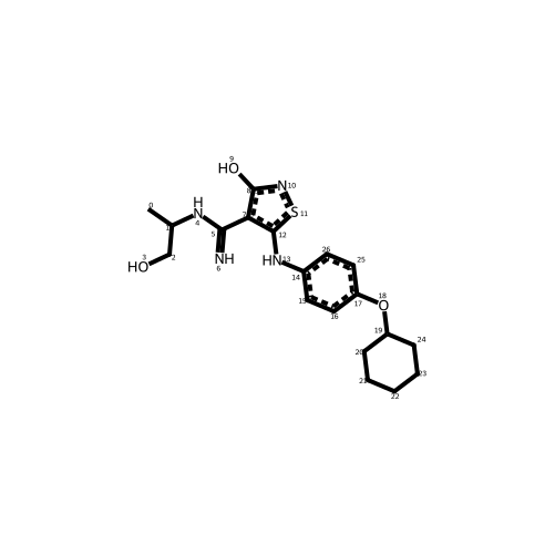 CC(CO)NC(=N)c1c(O)nsc1Nc1ccc(OC2CCCCC2)cc1